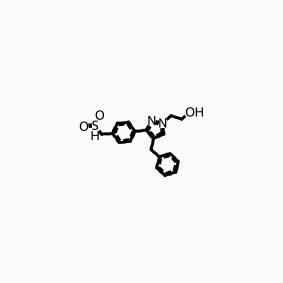 O=[SH](=O)Cc1ccc(-c2nn(CCO)cc2Cc2ccccc2)cc1